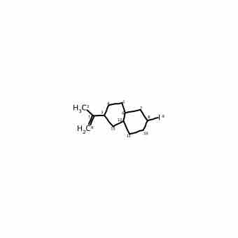 C=C(C)C1CCC2CC(I)CCC2C1